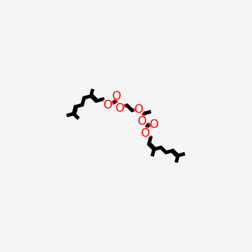 CC(C)=CCCC(C)=CCOC(=O)OCCOC(C)OC(=O)OCC=C(C)CCC=C(C)C